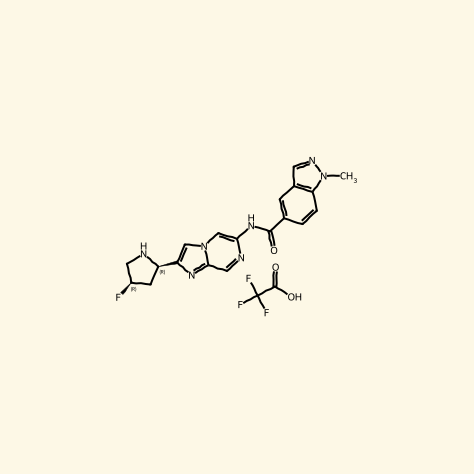 Cn1ncc2cc(C(=O)Nc3cn4cc([C@H]5C[C@@H](F)CN5)nc4cn3)ccc21.O=C(O)C(F)(F)F